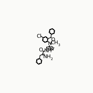 Br.CN(C(=O)CNC(=O)[C@@H](N)Cc1ccccc1)c1ccc(Cl)cc1C(=O)c1ccccc1